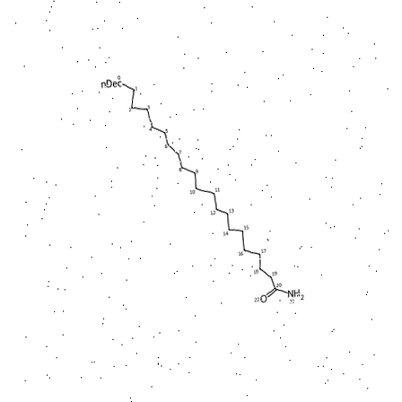 CCCCCCCCCCCCCCCCCCCCCCCCCCCCCC(N)=O